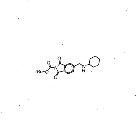 CC(C)(C)OC(=O)N1C(=O)c2ccc(CNC3CCCCC3)cc2C1=O